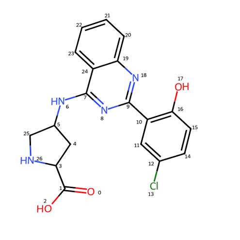 O=C(O)C1CC(Nc2nc(-c3cc(Cl)ccc3O)nc3ccccc23)CN1